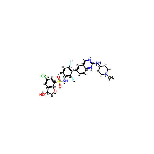 CN1CCC(Nc2ncc3cc(-c4c(F)ccc(NS(=O)(=O)c5cc(Cl)cc6c5OCC6O)c4F)ccc3n2)CC1